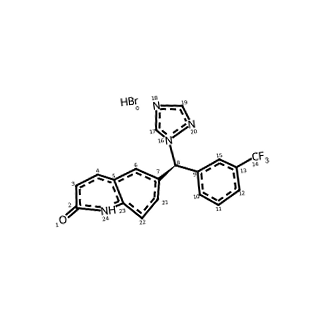 Br.O=c1ccc2cc([C@H](c3cccc(C(F)(F)F)c3)n3cncn3)ccc2[nH]1